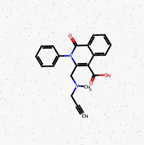 C#CCN(C)Cc1c(C(=O)O)c2ccccc2c(=O)n1-c1ccccc1